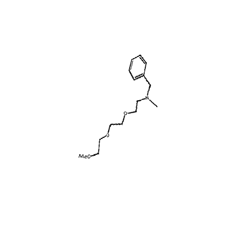 COCCOCCOCCN(C)Cc1ccccc1